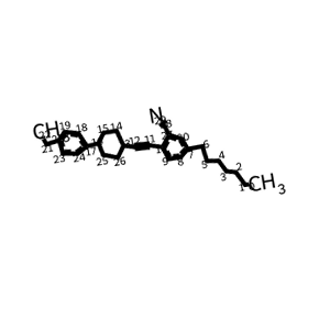 CCCCCCCc1ccc(C#CC2CCC(c3ccc(CC)cc3)CC2)c(C#N)c1